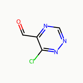 O=Cc1ncnnc1Cl